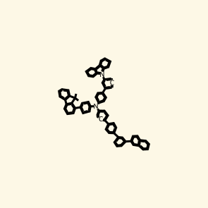 CC1(C)c2ccccc2-c2cccc(-c3ccc(N(c4ccc(-c5ccc(-c6cccc(-c7ccc8ccccc8c7)c6)cc5)cc4)c4ccc(-c5cccc(-n6c7ccccc7c7ccccc76)c5)cc4)cc3)c21